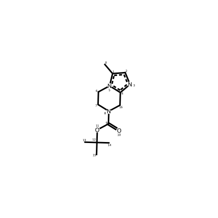 Cc1cnc2n1CCN(C(=O)OC(C)(C)C)C2